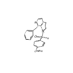 COc1ccc(S(=O)(=O)n2ccc3ccnc(-c4ccccc4)c32)cc1